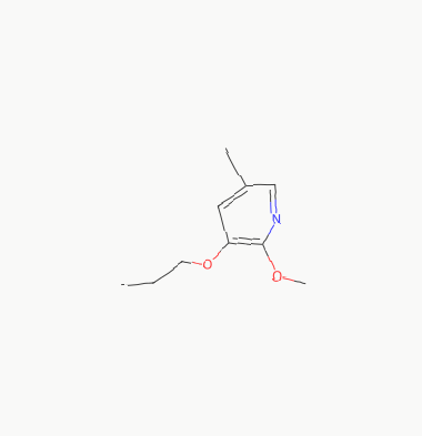 CCCOc1cc(C)cnc1OC